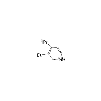 CCC1=C(C(C)C)C=CNC1